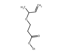 C=CC(C)OCCC(=O)OCC